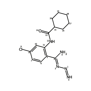 N=N/N=C(\N)c1ccc(Cl)cc1NC(=O)C1CCCCC1